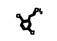 C=CCc1cc(Cl)ccc1Cl